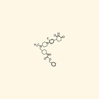 CN(CC1CCC(NC(=O)OCc2ccccc2)CC1)C1CCN(c2ccc(C3CCC(=O)NC3=O)cc2F)CC1